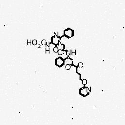 O=C(O)Nc1cnc(-c2ccccc2)n(CC(=O)NC(CC(=O)C(=O)CCCOc2ccccn2)c2ccccc2)c1=O